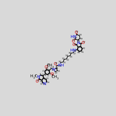 COc1cc(-c2cn(C)c(=O)c3cnccc23)cc(OC)c1CN1CC[C@@H]1C(=O)NCCCCCCCCNc1cccc2c1C(=O)N(C1CCC(=O)NC1=O)C2=O